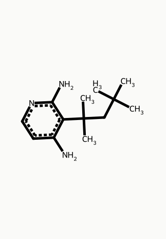 CC(C)(C)CC(C)(C)c1c(N)ccnc1N